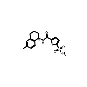 NS(=O)(=O)c1ccc(C(=O)N[C@@H]2CCCc3cc(Cl)ccc32)s1